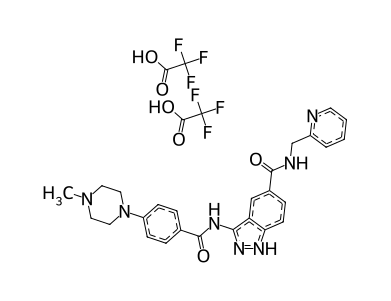 CN1CCN(c2ccc(C(=O)Nc3n[nH]c4ccc(C(=O)NCc5ccccn5)cc34)cc2)CC1.O=C(O)C(F)(F)F.O=C(O)C(F)(F)F